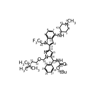 CN1CCC(Nc2cccc3c2cc(-c2cc(C(NC(=O)OC(C)(C)C)c4ccccc4)n(COCC[Si](C)(C)C)n2)n3CC(F)(F)F)CC1